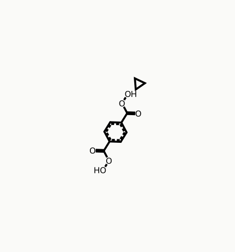 C1CC1.O=C(OO)c1ccc(C(=O)OO)cc1